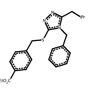 CCOC(=O)c1ccc(CSc2nnc(CC(C)C)n2Cc2ccccc2)cc1